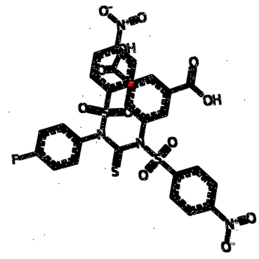 O=C(O)c1cc(C(=O)O)cc(N(C(=S)N(c2ccc(F)cc2)S(=O)(=O)c2ccc([N+](=O)[O-])cc2)S(=O)(=O)c2ccc([N+](=O)[O-])cc2)c1